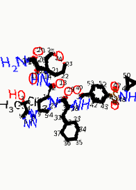 CC(C)(O)c1cnnn1[C@H]1C[C@@H](C(=O)NC2(C(=O)C(N)=O)CCCOCC2)N(C(=O)C(CC2CCCCC2)NC(=O)c2ccc(S(=O)(=O)NC3CC3)cc2)C1